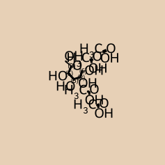 CC(=O)O.CC(=O)O.CC(=O)O.CC(=O)O.OC[C@H]1O[C@H](O)[C@H](O)[C@@H](O)[C@@H]1O